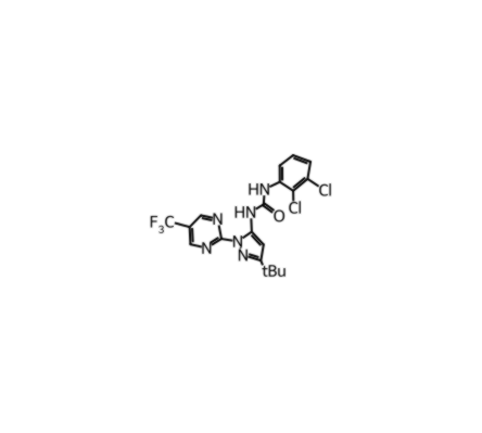 CC(C)(C)c1cc(NC(=O)Nc2cccc(Cl)c2Cl)n(-c2ncc(C(F)(F)F)cn2)n1